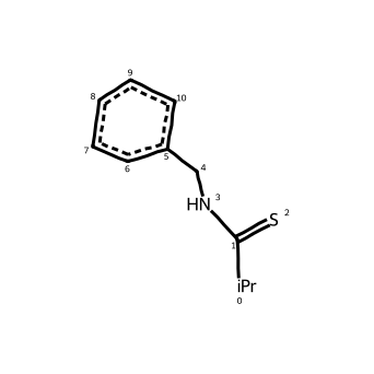 CC(C)C(=S)NCc1ccccc1